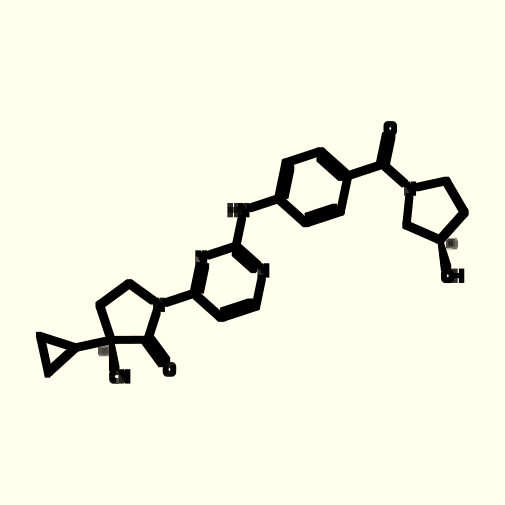 N#C[C@@]1(C2CC2)CCN(c2ccnc(Nc3ccc(C(=O)N4CC[C@@H](O)C4)cc3)n2)C1=O